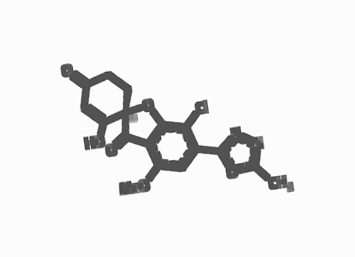 COc1cc(-c2nnc(C)o2)c(Cl)c2c1C(=O)[C@@]1(CCC(=O)C=C1O)O2